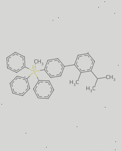 Cc1c(-c2ccc([SH](C)(c3ccccc3)(c3ccccc3)c3ccccc3)cc2)cccc1C(C)C